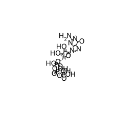 Cn1c(N)nc2c(ncn2[C@@H]2O[C@H](COP(=O)(O)OP(=O)(O)OP(=O)(O)O)[C@H](O)[C@@H]2O)c1=O